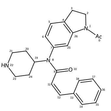 CC(=O)N1CCc2ccc(N(C(=O)/C=C\c3ccccc3)C3CCNCC3)cc21